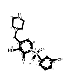 O=c1c(O)c(CN2CCNCC2)ccn1S(=O)(=O)c1cccc(Cl)c1